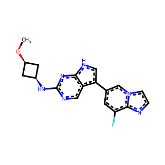 CO[C@H]1C[C@@H](Nc2ncc3c(-c4cc(F)c5nccn5c4)c[nH]c3n2)C1